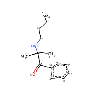 CC(C)(NCCC[SiH3])C(=O)c1ccccc1